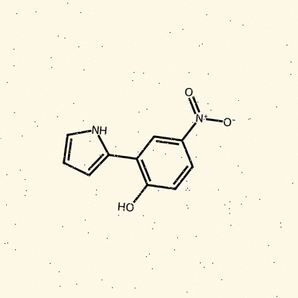 O=[N+]([O-])c1ccc(O)c(-c2ccc[nH]2)c1